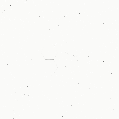 CC(N)C1CCONC1.CO[SiH2]OC